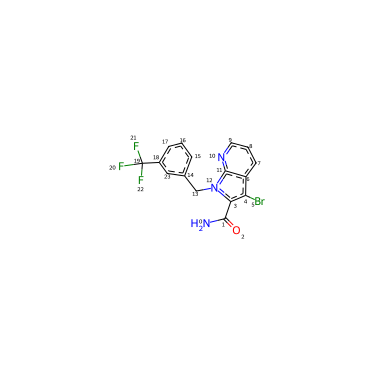 NC(=O)c1c(Br)c2cccnc2n1Cc1cccc(C(F)(F)F)c1